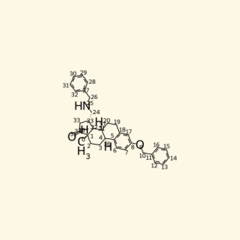 C[C@]12CC[C@@H]3c4ccc(OCc5ccccc5)cc4CC[C@H]3[C@@H]1[C@@H](CNCc1ccccc1)CC2=O